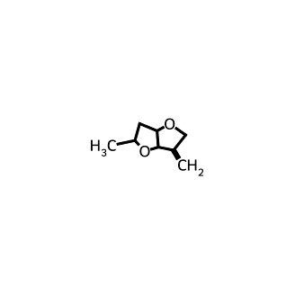 C=C1COC2CC(C)OC12